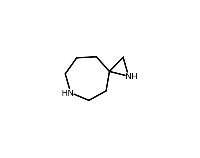 C1CNCCC2(C1)CN2